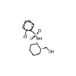 O=S(=O)(N[C@H]1CCCC[C@@H]1CO)c1ccccc1Cl